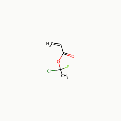 C=CC(=O)OC(C)(F)Cl